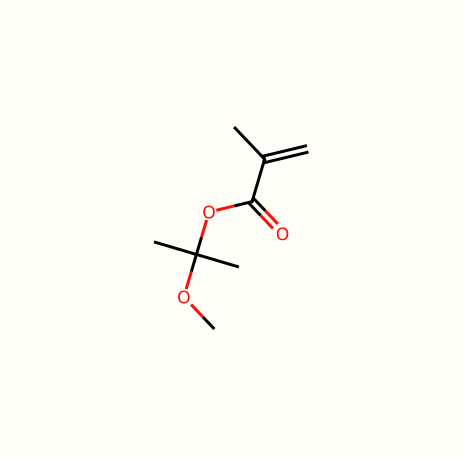 C=C(C)C(=O)OC(C)(C)OC